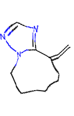 C=C1CCCCn2ncnc21